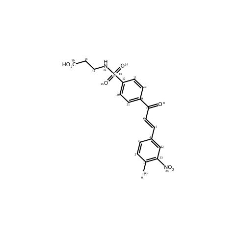 CC(C)c1ccc(/C=C/C(=O)c2ccc(S(=O)(=O)NCCC(=O)O)cc2)cc1[N+](=O)[O-]